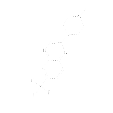 CN1CCN(c2cnc3cc(C(F)(F)F)ccc3n2)CC1